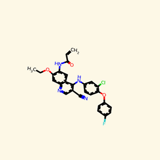 C=CC(=O)Nc1cc2c(Nc3ccc(Oc4ccc(F)cc4)c(Cl)c3)c(C#N)cnc2cc1OCC